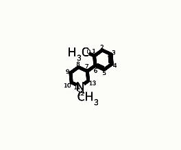 CC1CC=CC=C1C1CCCN(C)C1